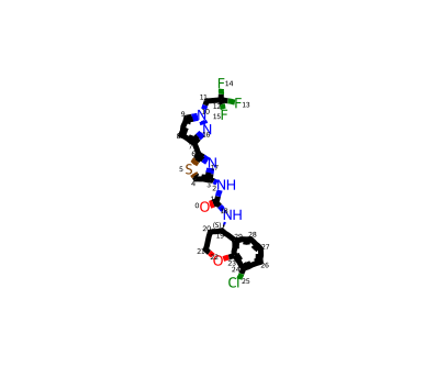 O=C(Nc1csc(-c2ccn(CC(F)(F)F)n2)n1)N[C@H]1CCOc2c(Cl)cccc21